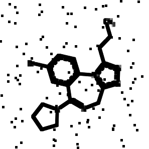 CCCc1nnc2n1-c1ccc(Br)cc1C(N1CCCC1)=NC2